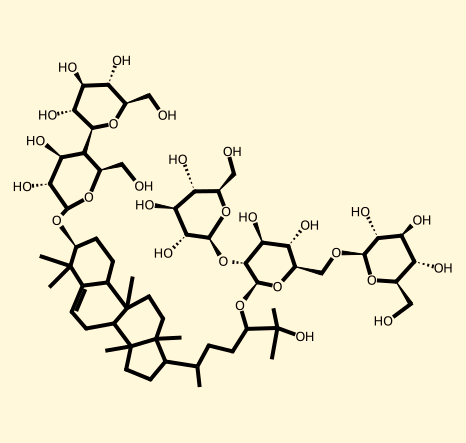 CC(CCC(O[C@@H]1O[C@H](CO[C@@H]2O[C@H](CO)[C@@H](O)[C@H](O)[C@H]2O)[C@@H](O)[C@H](O)[C@H]1O[C@@H]1O[C@H](CO)[C@@H](O)[C@H](O)[C@H]1O)C(C)(C)O)C1CCC2(C)C3CC=C4C(CC[C@H](OC5O[C@H](CO)C([C@@H]6O[C@H](CO)[C@@H](O)[C@H](O)[C@H]6O)[C@H](O)[C@H]5O)C4(C)C)C3(C)CCC12C